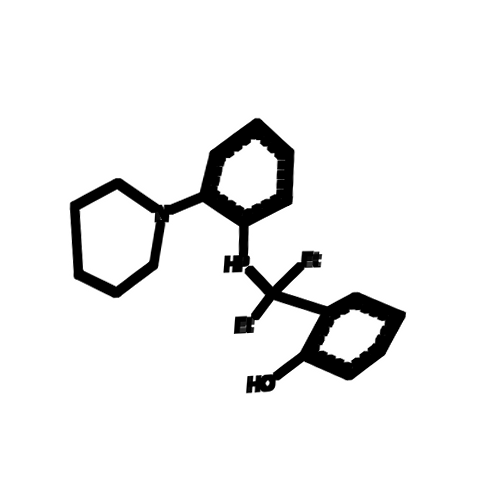 CCC(CC)(Pc1ccccc1N1CCCCC1)c1ccccc1O